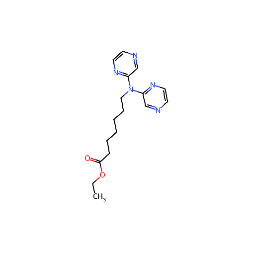 CCOC(=O)CCCCCCN(c1cnccn1)c1cnccn1